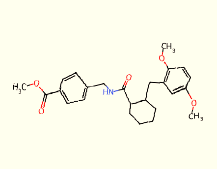 COC(=O)c1ccc(CNC(=O)C2CCCCC2Cc2cc(OC)ccc2OC)cc1